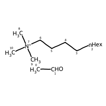 CC=O.CCCCCCCCCC[N+](C)(C)C